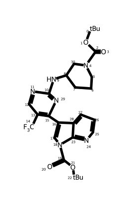 CC(C)(C)OC(=O)N1CCCC(Nc2ncc(C(F)(F)F)c(-c3cn(C(=O)OC(C)(C)C)c4ncccc34)n2)C1